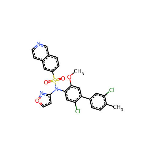 COc1cc(-c2ccc(C)c(Cl)c2)c(Cl)cc1N(c1ccon1)S(=O)(=O)c1ccc2cnccc2c1